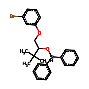 CC(C)(C)C(COc1cccc(Br)c1)O[SiH](c1ccccc1)c1ccccc1